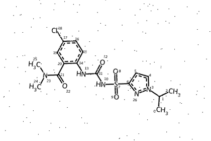 CC(C)n1ccc(S(=O)(=O)NC(=O)Nc2ccc(Cl)cc2C(=O)N(C)C)n1